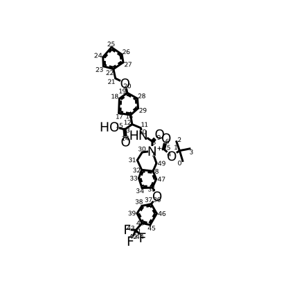 CC(C)(C)OC(=O)[N+]1(C(=O)NCC(C(=O)O)c2ccc(OCc3ccccc3)cc2)CCc2ccc(Oc3ccc(C(F)(F)F)cc3)cc2C1